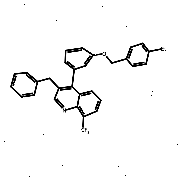 CCc1ccc(COc2cccc(-c3c(Cc4ccccc4)cnc4c(C(F)(F)F)cccc34)c2)cc1